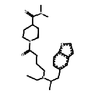 CCN(CCCC(=O)N1CCC(C(=O)N(C)C)CC1)C(C)Cc1ccc2occc2c1